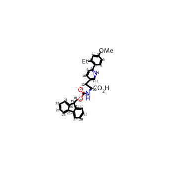 CCc1cc(OC)ccc1-c1ccc(C[C@H](NC(=O)OCC2c3ccccc3-c3ccccc32)C(=O)O)cn1